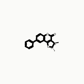 C[C@@H]1Oc2c(c(=O)oc3ccc(-c4ccccc4)cc23)[C@H]1C